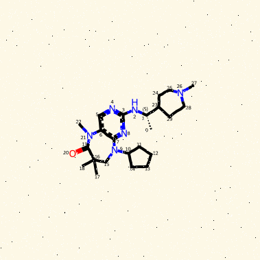 C[C@H](Nc1ncc2c(n1)N(C1CCCC1)CC(C)(C)C(=O)N2C)C1CCN(C)CC1